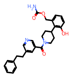 NC(=O)OCc1cccc(O)c1C1CCN(C(=O)c2cncc(CCc3ccccc3)c2)CC1